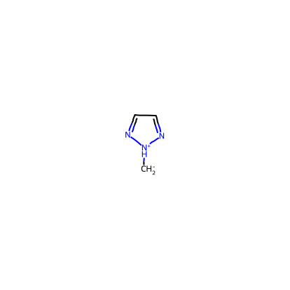 [CH2-][NH+]1N=CC=N1